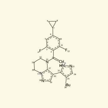 C=C(c1c(F)cc(C2CC2)cc1F)N1CCCn2ncc(-c3[nH]ncc3C(C)CC)c21